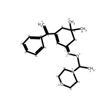 C=C(C1=C/C(=N/OC(C)N2CCOCC2)CC(C)(C)C1)c1ccccc1